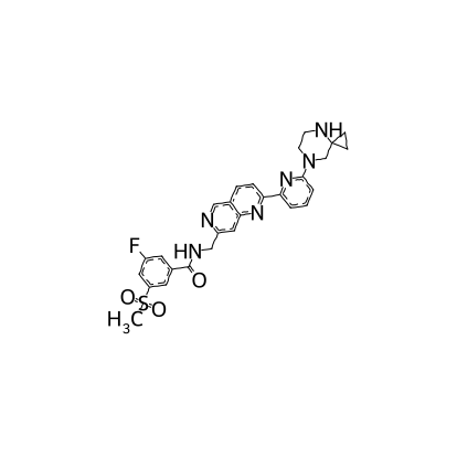 CS(=O)(=O)c1cc(F)cc(C(=O)NCc2cc3nc(-c4cccc(N5CCNC6(CC6)C5)n4)ccc3cn2)c1